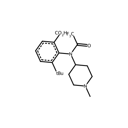 CN1CCC(N(C(=O)C(F)(F)F)c2c(C(=O)O)cccc2C(C)(C)C)CC1